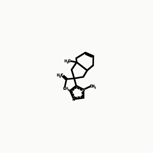 C=C(C)C1(c2cncn2C)CC2CC=CCC2(C)C1